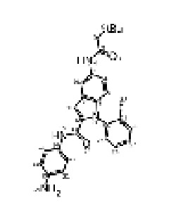 CC(C)(C)CC(=O)Nc1ccc2c(c1)cc(C(=O)Nc1ccc(N)cc1)n2-c1ccccc1F